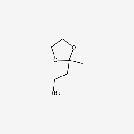 CC(C)(C)CCC1(C)OCCO1